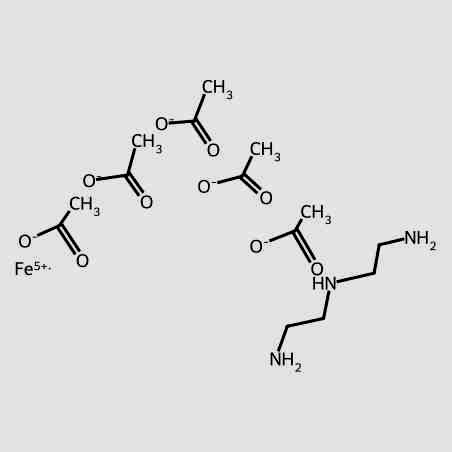 CC(=O)[O-].CC(=O)[O-].CC(=O)[O-].CC(=O)[O-].CC(=O)[O-].NCCNCCN.[Fe+5]